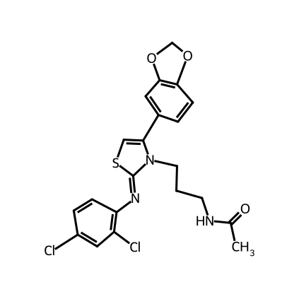 CC(=O)NCCCn1c(-c2ccc3c(c2)OCO3)cs/c1=N\c1ccc(Cl)cc1Cl